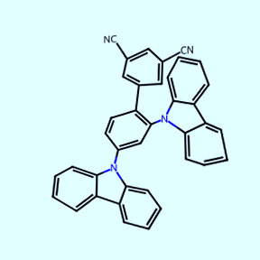 N#Cc1cc(C#N)cc(-c2ccc(-n3c4ccccc4c4ccccc43)cc2-n2c3ccccc3c3ccccc32)c1